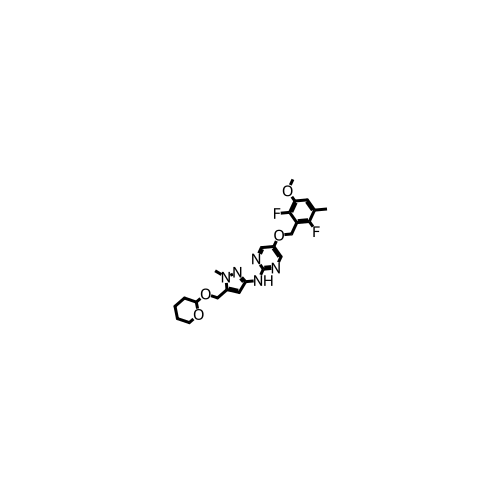 COc1cc(C)c(F)c(COc2cnc(Nc3cc(COC4CCCCO4)n(C)n3)nc2)c1F